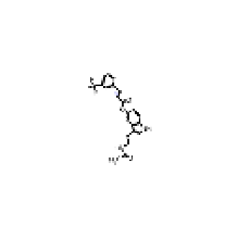 CC(=O)NCCc1c[nH]c2ccc(OC(=O)/C=C/c3cccc(C(F)(F)F)c3)cc12